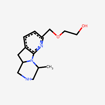 CC1CNCC2Cc3ccc(COCCO)nc3N12